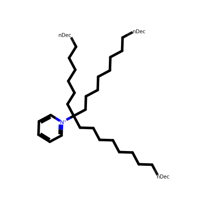 CCCCCCCCCCCCCCCCCCC(CCCCCCCCCCCCCCCC)(CCCCCCCCCCCCCCCCCC)[n+]1ccccc1